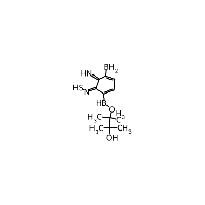 BC1=CC=C(BOC(C)(C)C(C)(C)O)/C(=N/S)C1=N